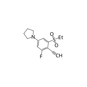 C#Cc1c(F)cc(N2CCCC2)cc1S(=O)(=O)CC